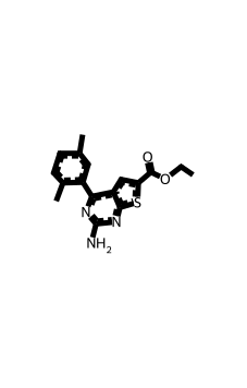 CCOC(=O)c1cc2c(-c3cc(C)ccc3C)nc(N)nc2s1